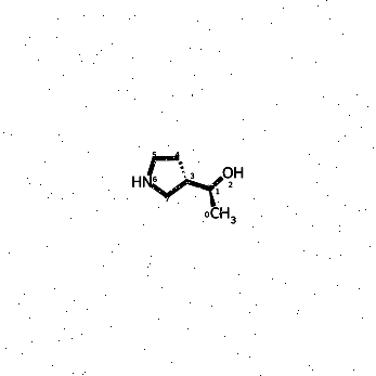 C[C@H](O)[C@H]1CCNC1